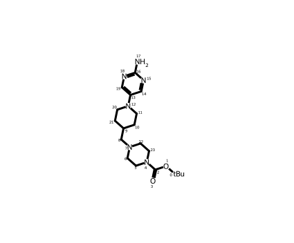 CC(C)(C)OC(=O)N1CCN(CC2CCN(c3cnc(N)nc3)CC2)CC1